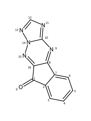 O=C1c2ccccc2-c2nc3ncnn3nc21